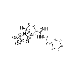 N=C(NCCN1CCCCC1)[C@@H]1CC[C@@H]2CN1C(=O)N2OS(=O)(=O)O